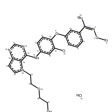 CCO/N=C(\c1cccc(Oc2ccc(Nc3ncnc4ccn(CCOCCO)c34)cc2Cl)c1)C(C)(C)C.Cl